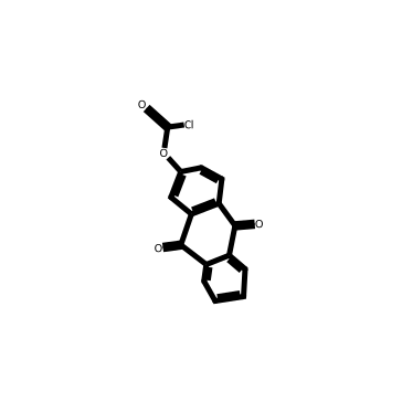 O=C(Cl)Oc1ccc2c(c1)C(=O)c1ccccc1C2=O